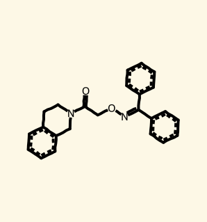 O=C(CON=C(c1ccccc1)c1ccccc1)N1CCc2ccccc2C1